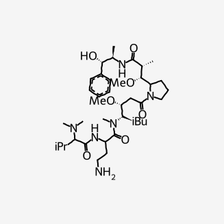 CC[C@H](C)[C@@H]([C@@H](CC(=O)N1CCCC1[C@H](OC)[C@@H](C)C(=O)N[C@H](C)[C@@H](O)c1ccccc1)OC)N(C)C(=O)C(CCN)NC(=O)C(C(C)C)N(C)C